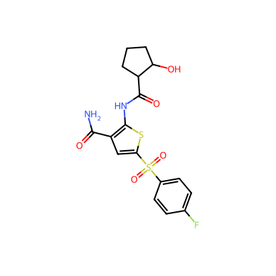 NC(=O)c1cc(S(=O)(=O)c2ccc(F)cc2)sc1NC(=O)C1CCCC1O